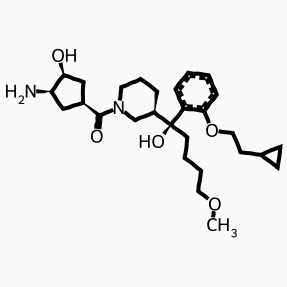 COCCCC[C@@](O)(c1ccccc1OCCC1CC1)[C@@H]1CCCN(C(=O)[C@H]2C[C@@H](N)[C@@H](O)C2)C1